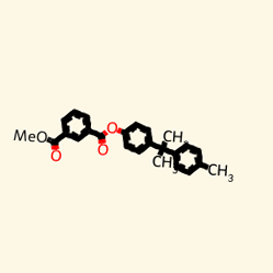 COC(=O)c1cccc(C(=O)Oc2ccc(C(C)(C)c3ccc(C)cc3)cc2)c1